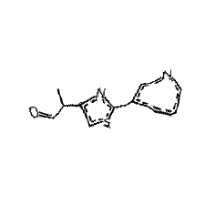 CC(C=O)c1csc(-c2cccnc2)n1